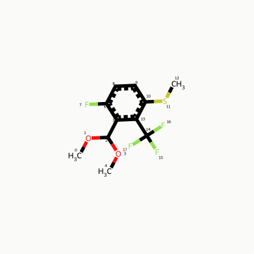 COC(OC)c1c(F)ccc(SC)c1C(F)(F)F